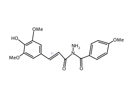 COc1ccc(C(=O)N(N)C(=O)/C=C/c2cc(OC)c(O)c(OC)c2)cc1